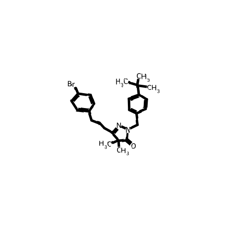 CC1(C)C(=O)N(Cc2ccc(C(C)(C)C)cc2)N=C1CCCc1ccc(Br)cc1